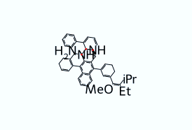 CC/C(=C(\OC)C1=CC(c2c3c(c(C4=C(C(N)NC5NC=CC=C5c5ccccc5)CCC=C4)c4ccccc24)CCC=C3)=CCC1)C(C)C